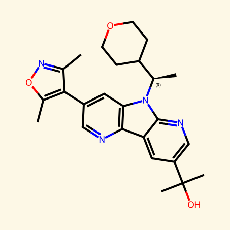 Cc1noc(C)c1-c1cnc2c3cc(C(C)(C)O)cnc3n([C@H](C)C3CCOCC3)c2c1